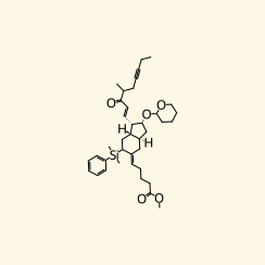 CCC#CCC(C)C(=O)C=C[C@H]1[C@H]2CC([Si](C)(C)c3ccccc3)/C(=C/CCCC(=O)OC)C[C@@H]2C[C@H]1OC1CCCCO1